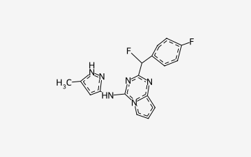 Cc1cc(Nc2nc(C(F)c3ccc(F)cc3)nc3cccn23)n[nH]1